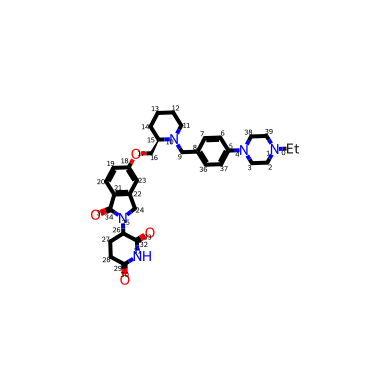 CCN1CCN(c2ccc(CN3CCCC[C@@H]3COc3ccc4c(c3)CN(C3CCC(=O)NC3=O)C4=O)cc2)CC1